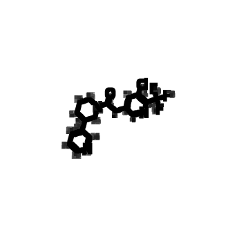 O=C(Cc1cnc(C(F)(F)F)c(Cl)c1)N1CCCC(c2cccnc2)C1